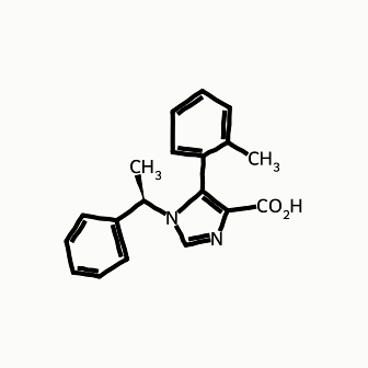 Cc1ccccc1-c1c(C(=O)O)ncn1[C@H](C)c1ccccc1